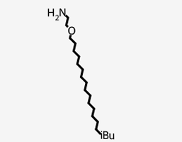 CCC(C)CCCCCCCCCCCCCCCOCCN